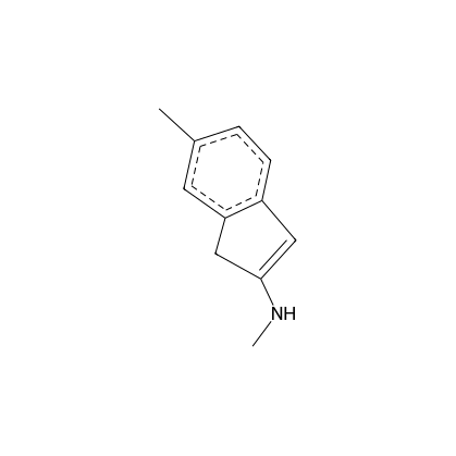 CNC1=Cc2ccc(C)cc2C1